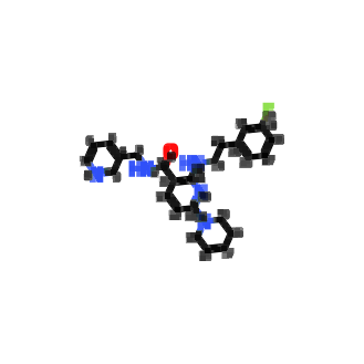 O=C(NCc1cccnc1)c1ccc(N2CC=CCC2)nc1NCCc1cccc(F)c1